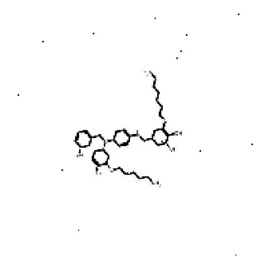 NCCCCCCOC1=C(O)[C@@H](O)CC(CNC2=CCC(N(CC3=CC=C[C@H](O)C3)[C@@H]3CC=C(O)[C@H](OCCCCCN)C3)C=C2)C1